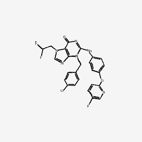 O=c1nc(Nc2ccc(Oc3ccc(F)cn3)cc2)n(Cc2ccc(Cl)cc2)c2ncn(CC(F)F)c12